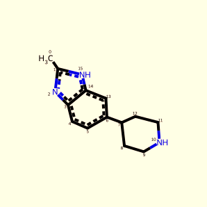 Cc1nc2ccc(C3CCNCC3)cc2[nH]1